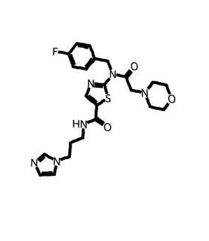 O=C(NCCCn1ccnc1)c1cnc(N(Cc2ccc(F)cc2)C(=O)CN2CCOCC2)s1